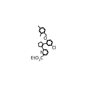 CCOC(=O)c1cccc(C2=C(c3cc(Cl)ccc3OCc3ccc(C)cc3C)CCC2)n1